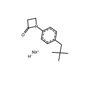 CC(C)(C)Cc1ccc(N2CCC2=O)cc1.[H-].[Na+]